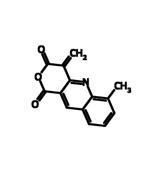 C=C1C(=O)OC(=O)c2cc3cccc(C)c3nc21